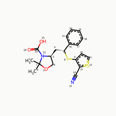 CC1(C)OC[C@H](C[C@@H](Sc2ccsc2C#N)c2ccccc2)N1C(=O)O